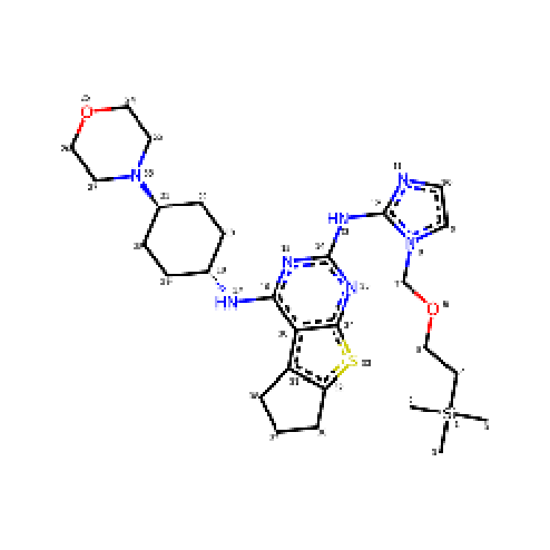 C[Si](C)(C)CCOCn1ccnc1Nc1nc(N[C@H]2CC[C@H](N3CCOCC3)CC2)c2c3c(sc2n1)CCC3